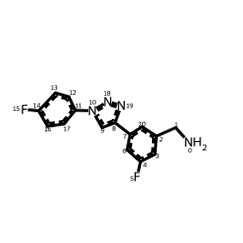 NCc1cc(F)cc(-c2cn(-c3ccc(F)cc3)nn2)c1